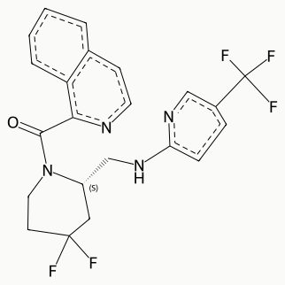 O=C(c1nccc2ccccc12)N1CCC(F)(F)C[C@H]1CNc1ccc(C(F)(F)F)cn1